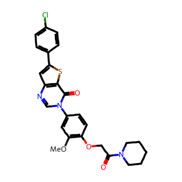 COc1cc(-n2cnc3cc(-c4ccc(Cl)cc4)sc3c2=O)ccc1OCC(=O)N1CCCCC1